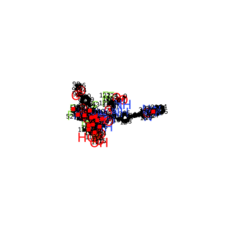 COC(=O)N[C@H](C(=O)N[C@@H](Cc1ccc(C#Cc2cnc(N3CC4CCC(C3)N4C3COC3)nc2)cc1)[C@H](CN(Cc1c(F)cc(-c2ccn(C(F)F)n2)cc1F)NC(=O)[C@@H](NC(=O)OC)C(C)(C)C(F)(F)F)OC(=O)CC(C)(C)c1c(CC(=O)N[C@@H](Cc2ccc(C(=O)OC(C)(C)C)cc2)C(=O)OC(C)(C)C)cc(C)cc1OP(=O)(O)O)C(C)(C)C(F)(F)F